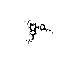 Cc1nc(N2CCC(C)C2)c2cc(CC(F)(F)F)sc2n1